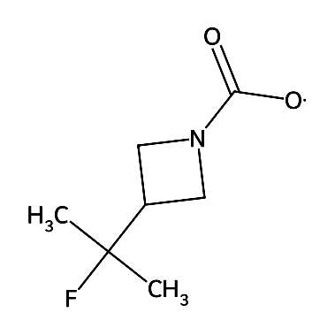 CC(C)(F)C1CN(C([O])=O)C1